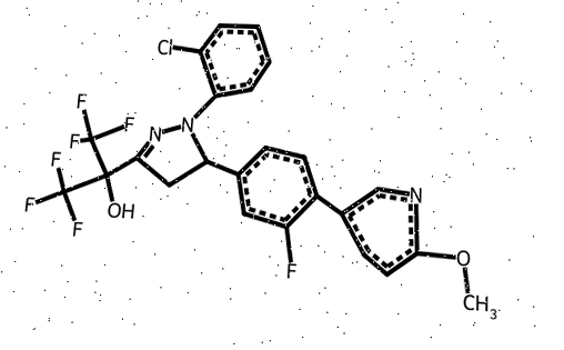 COc1ccc(-c2ccc(C3CC(C(O)(C(F)(F)F)C(F)(F)F)=NN3c3ccccc3Cl)cc2F)cn1